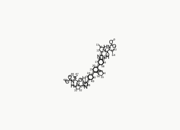 COC(=O)NC(C(=O)N1CC(C)CC1c1nc2cc(-c3ccc(-c4ccc(-c5cnc(C6CCC(C)N6C(=O)C(NC(=O)OC)C(C)C)[nH]5)cc4)c4c3C3CCC4C3)ccc2[nH]1)C(C)C